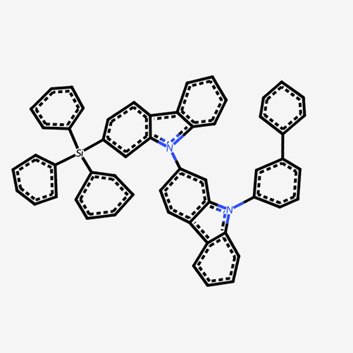 c1ccc(-c2cccc(-n3c4ccccc4c4ccc(-n5c6ccccc6c6ccc([Si](c7ccccc7)(c7ccccc7)c7ccccc7)cc65)cc43)c2)cc1